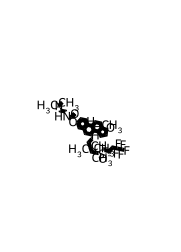 CN(C)CCNC(=O)Oc1ccc2c(c1)C[C@@H](CCC(C)(C)CC(C)(C)[S+]([O-])CCCC(F)(F)C(F)(F)F)[C@@H]1[C@@H]2CC[C@]2(C)C(=O)CC[C@@H]12